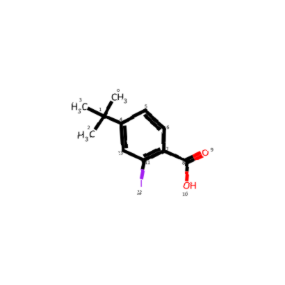 CC(C)(C)c1ccc(C(=O)O)c(I)c1